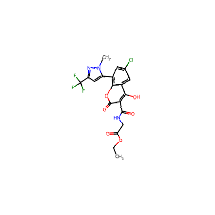 CCOC(=O)CNC(=O)c1c(O)c2cc(Cl)cc(-c3cc(C(F)(F)F)nn3C)c2oc1=O